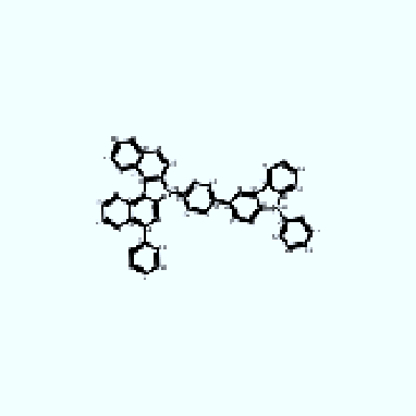 c1ccc(-c2cc3c(c4ccccc24)c2c4ccccc4ccc2n3-c2ccc(-c3ccc4c(c3)c3ccccc3n4-c3ccccc3)cc2)cc1